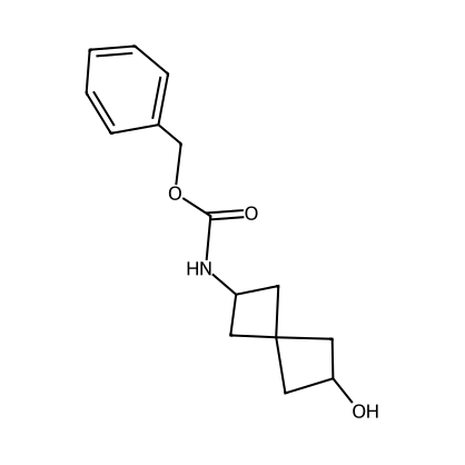 O=C(NC1CC2(CC(O)C2)C1)OCc1ccccc1